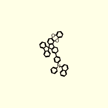 C1=C(c2ccc(N(c3ccccc3)c3cccc4ccccc34)cc2)CCC2=C1C1(c3ccccc3-c3ccccc31)c1ccc3c(c12)Oc1ccccc1O3